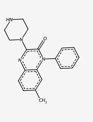 Cc1ccc2nc(N3CCNCC3)c(=O)n(-c3ccccc3)c2c1